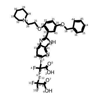 O=C(O)C(F)(F)F.O=C(O)C(F)(F)F.c1ccc(COc2ccc(OCCN3CCCCC3)c(-c3nc4cccnc4[nH]3)c2)cc1